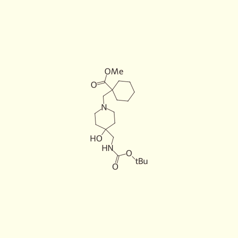 COC(=O)C1(CN2CCC(O)(CNC(=O)OC(C)(C)C)CC2)CCCCC1